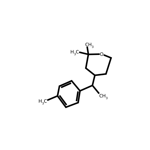 Cc1ccc(C(C)C2CCOC(C)(C)C2)cc1